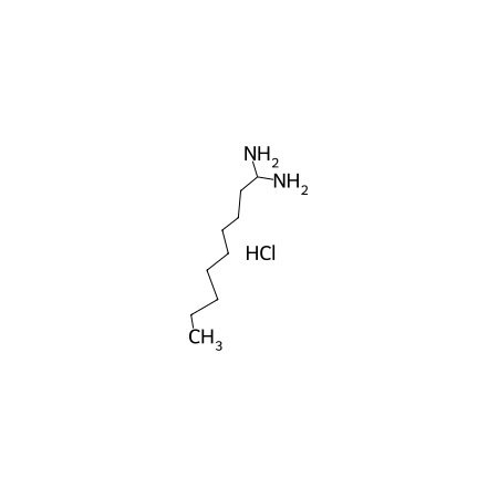 CCCCCCCCC(N)N.Cl